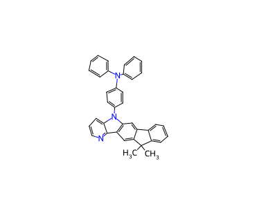 CC1(C)c2ccccc2-c2cc3c(cc21)c1ncccc1n3-c1ccc(N(c2ccccc2)c2ccccc2)cc1